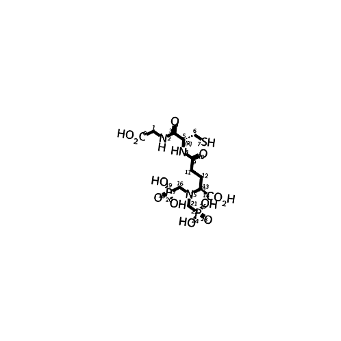 O=C(O)CNC(=O)[C@H](CS)NC(=O)CC[C@@H](C(=O)O)N(CP(=O)(O)O)CP(=O)(O)O